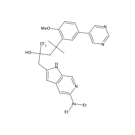 CC[As](CC)c1cc2cc(CC(O)(CC(C)(C)c3cc(-c4cncnc4)ccc3OC)C(F)(F)F)[nH]c2cn1